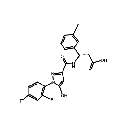 Cc1cccc([C@H](CC(=O)O)NC(=O)c2cc(O)n(-c3ccc(F)cc3F)n2)c1